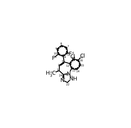 CC1C=C(c2c(F)cccc2F)c2c(ccc(Cl)c2Cl)N2NCN=C12